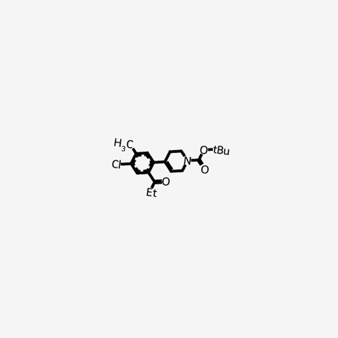 CCC(=O)c1cc(Cl)c(C)cc1C1=CCN(C(=O)OC(C)(C)C)CC1